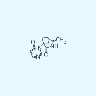 C=C1NC(=O)C2(n3cnccc3=O)CC1C2